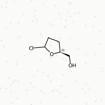 OC[C@@H]1CCC(Cl)O1